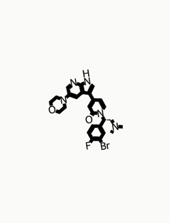 CN(C)C[C@H](c1ccc(F)c(Br)c1)n1ccc(-c2c[nH]c3ncc(N4CCOCC4)cc23)cc1=O